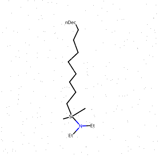 CCCCCCCCCCCCCCCCCC[Si](C)(C)N(CC)CC